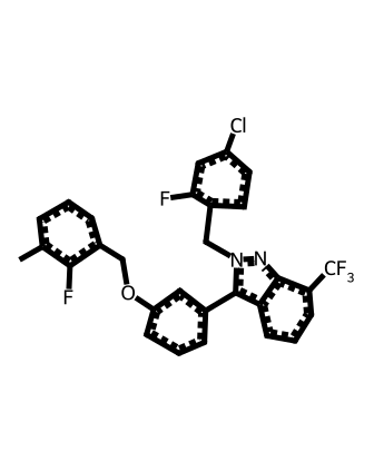 Cc1cccc(COc2cccc(-c3c4cccc(C(F)(F)F)c4nn3Cc3ccc(Cl)cc3F)c2)c1F